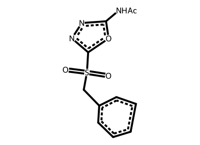 CC(=O)Nc1nnc(S(=O)(=O)Cc2ccccc2)o1